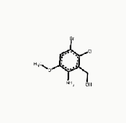 COc1cc(Br)c(Cl)c(CO)c1N